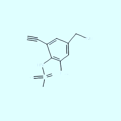 C#Cc1cc(CN)cc(F)c1NS(C)(=O)=O.Cl